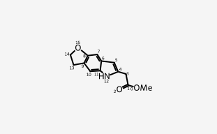 COC(=O)Cc1cc2cc3c(cc2[nH]1)CCO3